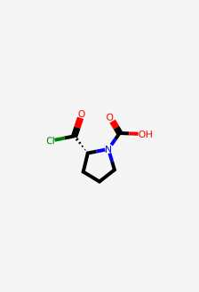 O=C(Cl)[C@H]1CCCN1C(=O)O